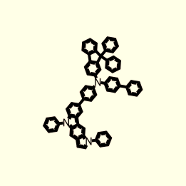 c1ccc(-c2ccc(N(c3ccc(-c4ccc5c(c4)c4cc6c(ccn6-c6ccccc6)cc4n5-c4ccccc4)cc3)c3ccc4c(c3)C(c3ccccc3)(c3ccccc3)c3ccccc3-4)cc2)cc1